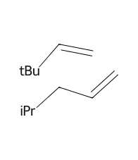 C=CC(C)(C)C.C=CCC(C)C